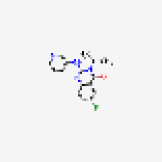 CC(C)n1c(Nc2cccnc2)nc2ccc(F)cc2c1=O